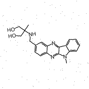 Cn1c2ccccc2c2nc3cc(CNC(C)(CO)CO)ccc3nc21